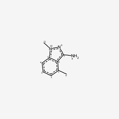 Cc1cccc2c1c(N)nn2C